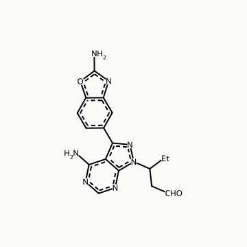 CCC(CC=O)n1nc(-c2ccc3oc(N)nc3c2)c2c(N)ncnc21